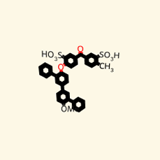 COc1ccc(-c2ccc(Oc3ccc(C(=O)c4ccc(C)c(S(=O)(=O)O)c4)cc3S(=O)(=O)O)c(-c3ccccc3)c2)cc1-c1ccccc1